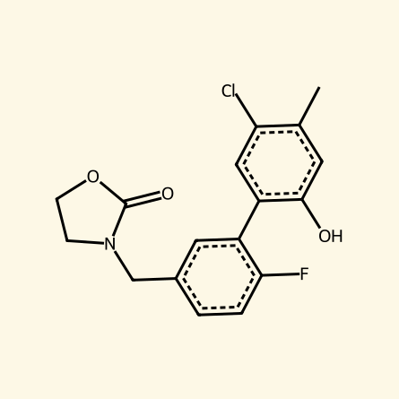 Cc1cc(O)c(-c2cc(CN3CCOC3=O)ccc2F)cc1Cl